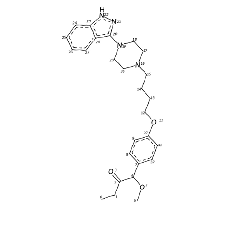 CCC(=O)C(OC)c1ccc(OCCCCN2CCN(c3n[nH]c4ccccc34)CC2)cc1